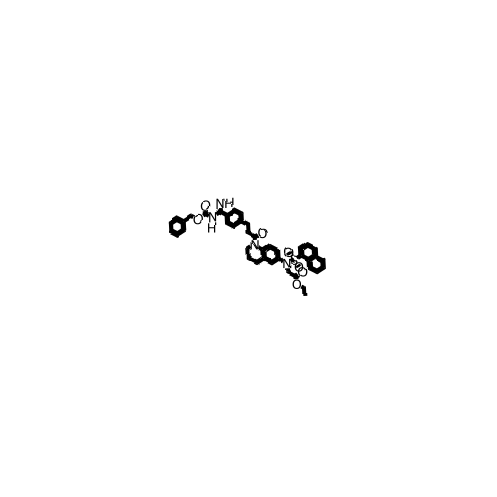 CCOC(=O)CN(c1ccc2c(c1)CCCN2C(=O)CCc1ccc(C(=N)NC(=O)OCc2ccccc2)cc1)S(=O)(=O)c1cccc2ccccc12